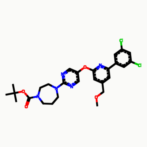 COCc1cc(Oc2cnc(N3CCCN(C(=O)OC(C)(C)C)CC3)nc2)nc(-c2cc(Cl)cc(Cl)c2)c1